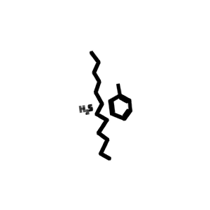 CCCCCCCCCCCC.Cc1ccccc1.S